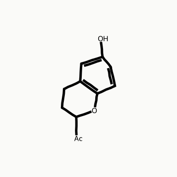 CC(=O)C1CCc2cc(O)ccc2O1